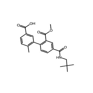 COC(=O)c1cc(C(=O)NCC(C)(C)C)ccc1-c1cc(C(=O)O)ccc1C